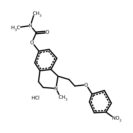 CN(C)C(=O)Oc1ccc2c(c1)CCN(C)C2CCOc1ccc([N+](=O)[O-])cc1.Cl